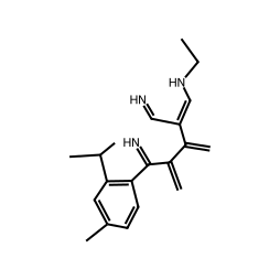 C=C(C(=C)/C(C=N)=C/NCC)C(=N)c1ccc(C)cc1C(C)C